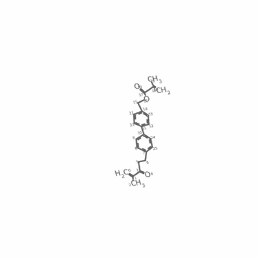 C=C(C)C(=O)CCc1ccc(-c2ccc(COC(=O)C(=C)C)cc2)cc1